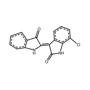 O=C1Nc2c(Cl)cccc2/C1=C1/Nc2ccccc2C1=O